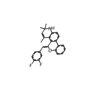 CC1=CC(C)(C)Nc2ccc3c(c21)C(=Cc1ccc(F)c(F)c1)Oc1ccccc1-3